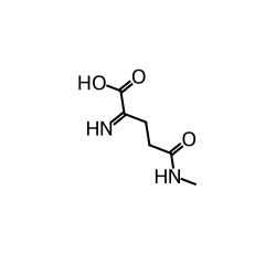 CNC(=O)CCC(=N)C(=O)O